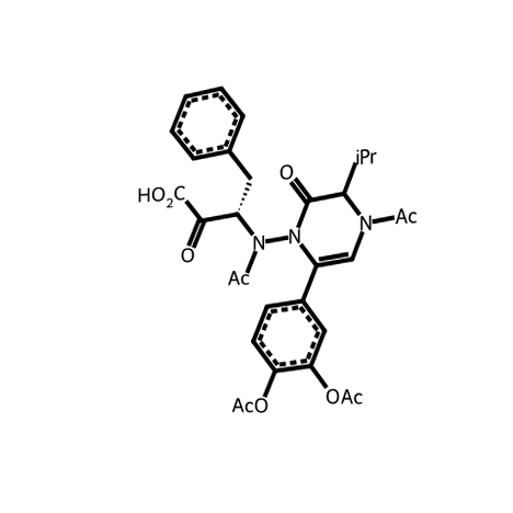 CC(=O)Oc1ccc(C2=CN(C(C)=O)C(C(C)C)C(=O)N2N(C(C)=O)[C@@H](Cc2ccccc2)C(=O)C(=O)O)cc1OC(C)=O